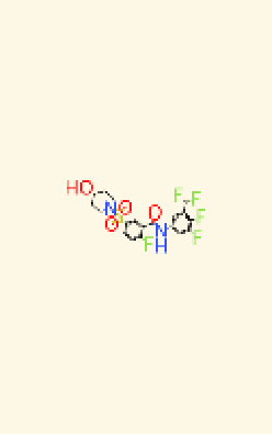 O=C(Nc1cc(F)c(F)c(C(F)F)c1)c1cc(S(=O)(=O)N2CCC(O)CC2)ccc1F